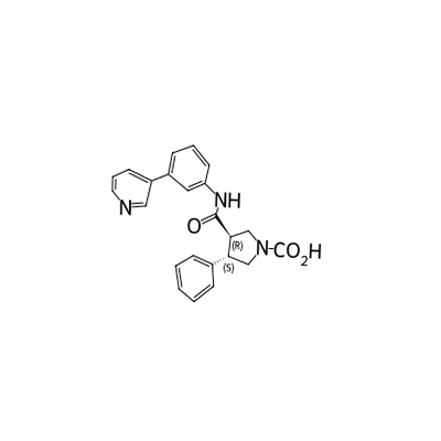 O=C(Nc1cccc(-c2cccnc2)c1)[C@H]1CN(C(=O)O)C[C@@H]1c1ccccc1